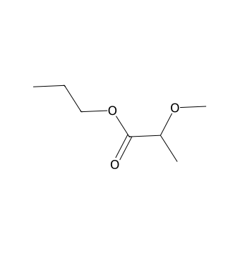 CCCOC(=O)C(C)OC